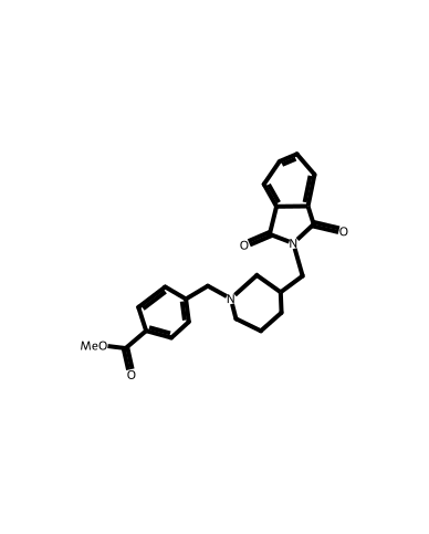 COC(=O)c1ccc(CN2CCCC(CN3C(=O)c4ccccc4C3=O)C2)cc1